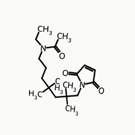 CCN(CCCC(C)(C)CC(C)(C)CN1C(=O)C=CC1=O)C(C)=O